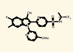 COc1ccnc(-n2c(-c3ccc(S(=O)(=O)N[C@@H](C)C(F)(F)F)cn3)c(C#N)c3cc(F)c(C)cc32)c1